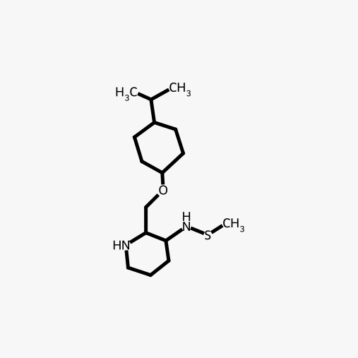 CSNC1CCCNC1COC1CCC(C(C)C)CC1